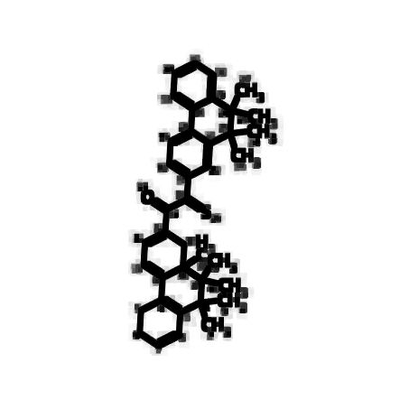 CC1(C)C2=C(CCC=C2)C2=CC=C(C(=O)C(=S)c3ccc4c(c3)C(C)(C)C(C)(C)c3ccccc3-4)CC2(C)C1(C)C